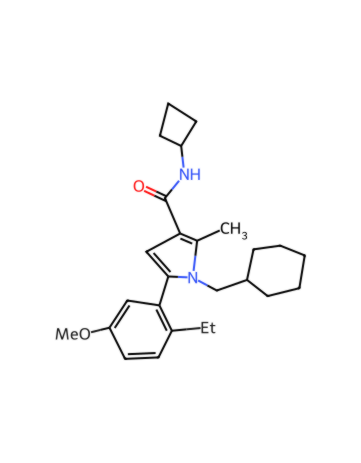 CCc1ccc(OC)cc1-c1cc(C(=O)NC2CCC2)c(C)n1CC1CCCCC1